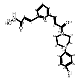 O=C(C=Cc1cccc(C=CC(=O)N2CCN(c3ccc(Cl)cc3)CC2)n1)NO